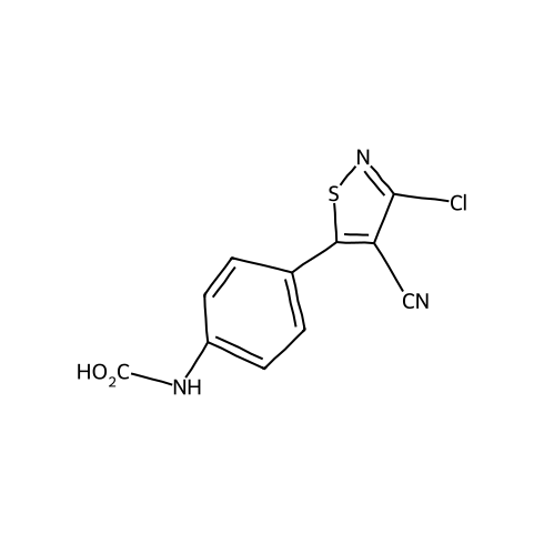 N#Cc1c(Cl)nsc1-c1ccc(NC(=O)O)cc1